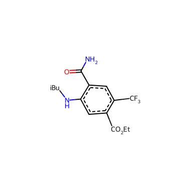 CCOC(=O)c1cc(NC(C)CC)c(C(N)=O)cc1C(F)(F)F